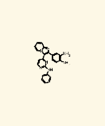 Nc1ccc(-c2nc3ccccn3c2-c2ccnc(Nc3ccccc3)n2)cc1N